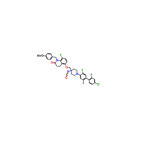 COc1ccc(CN2C(=O)CCc3c(OCC4(N=C=O)CCN(c5cc(F)c(-c6ccc(Cl)cc6F)cc5F)CC4)ccc(F)c32)cc1